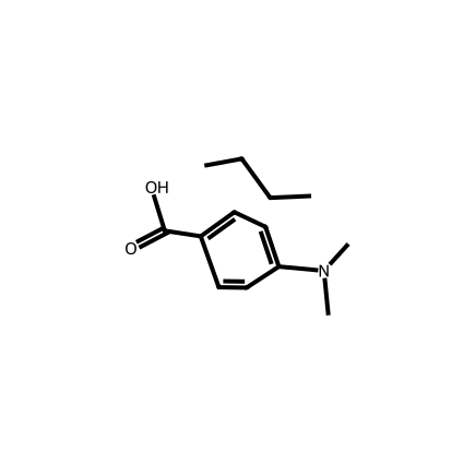 CCCC.CN(C)c1ccc(C(=O)O)cc1